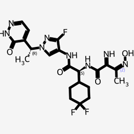 C/C(=N/O)C(=N)C(=O)N[C@H](C(=O)Nc1cn([C@H](C)c2ccn[nH]c2=O)nc1F)C1CCC(F)(F)CC1